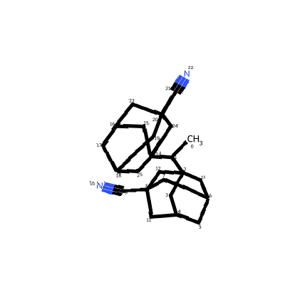 CC(C12CC3CC(CC(C#N)(C3)C1)C2)C12CC3CC(CC(C#N)(C3)C1)C2